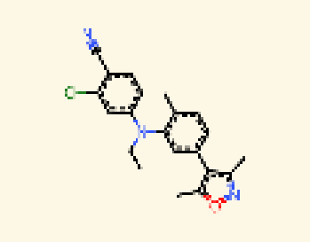 CCN(c1ccc(C#N)c(Cl)c1)c1cc(-c2c(C)noc2C)ccc1C